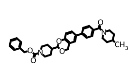 CC1CCN(C(=O)c2ccc(-c3ccc4c(c3)COC(C3CCN(C(=O)OCc5ccccc5)CC3)O4)cc2)CC1